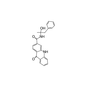 CC(O)(Cc1ccccc1)NC(=O)c1ccc2c(=O)c3ccccc3[nH]c2c1